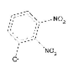 [O]c1cccc([N+](=O)[O-])c1[N+](=O)[O-]